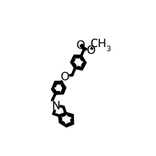 COC(=O)c1ccc(COc2ccc(CN3Cc4ccccc4C3)cc2)cc1